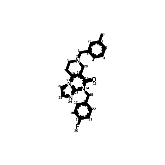 Cc1cccc(CN2CCc3c(c(=O)n(Cc4ccc(F)cc4)c4nccn34)C2)c1